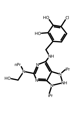 CCCN(CO)c1nc(NCc2ccc(Cl)c(O)c2O)c2c(n1)N(C(C)C)NN2C(C)C